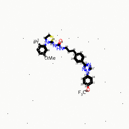 COc1ccc(C(C)C)c(N2CCS/C2=N\C(=O)NCCCc2ccc(-c3ncn(-c4ccc(OC(F)(F)F)cc4)n3)cc2)c1